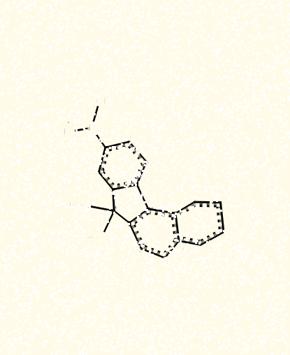 CC1(C)c2cc(B(O)O)ccc2-c2c1ccc1ccccc21